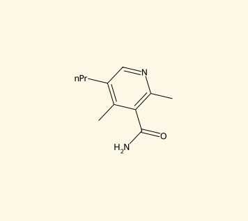 CCCc1cnc(C)c(C(N)=O)c1C